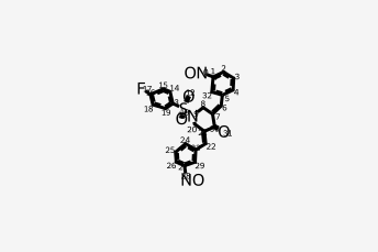 O=Nc1cccc(C=C2CN(S(=O)(=O)c3ccc(F)cc3)CC(=Cc3cccc(N=O)c3)C2=O)c1